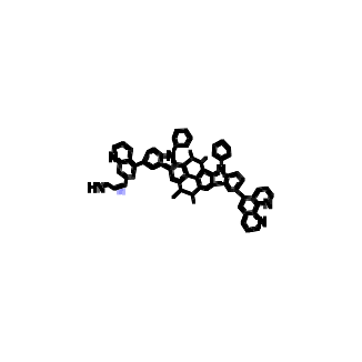 CC1c2cc3c4cc(-c5cc(/C=C\C=N)cc6ncccc56)ccc4n(-c4ccccc4)c3c3c2-c2c(cc4c5cc(-c6cc7cccnc7c7ncccc67)ccc5n(-c5ccccc5)c4c2C(C)C3C)C1C